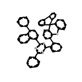 c1ccc(-c2nc(-c3ccccc3-c3cccc4c3Oc3ccccc3C43c4ccccc4-c4ccccc43)nc(-c3ccc(-c4ccccc4)c4ccccc34)n2)cc1